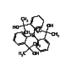 CC(C)(O)C1=CCCC=C1N(c1ccccc1C(C)(C)O)c1ccccc1C(C)(C)O